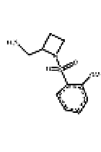 COc1ccccc1S(=O)(=O)N1CCC1CN